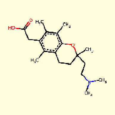 Cc1c(C)c2c(c(C)c1CC(=O)O)CCC(C)(CCN(C)C)O2